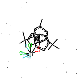 Cc1cc(C(C)(C)C)c([O][Ti]([F])([F])([F])([F])([F])([Cl])([Cl])([c]2ccccc2)[CH]2C=CC=C2)c(C(C)(C)C)c1